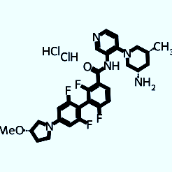 CO[C@H]1CCN(c2cc(F)c(-c3c(F)ccc(C(=O)Nc4cnccc4N4C[C@H](C)C[C@H](N)C4)c3F)c(F)c2)C1.Cl.Cl